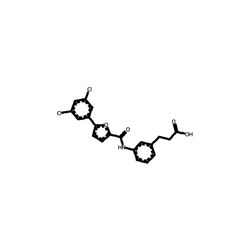 O=C(O)CCc1cccc(NC(=O)c2ccc(-c3cc(Cl)cc(Cl)c3)o2)c1